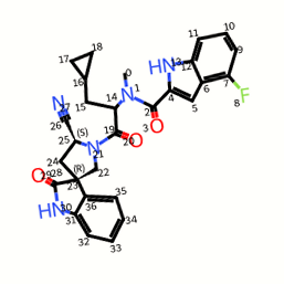 CN(C(=O)c1cc2c(F)cccc2[nH]1)C(CC1CC1)C(=O)N1C[C@]2(C[C@H]1C#N)C(=O)Nc1ccccc12